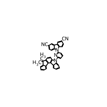 CC1(C)c2ccccc2-c2c1ccc1c2c2ccccc2n1-c1cccc(-n2c3ccc(C#N)cc3c3cc(C#N)ccc32)n1